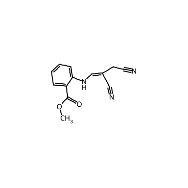 COC(=O)c1ccccc1NC=C(C#N)CC#N